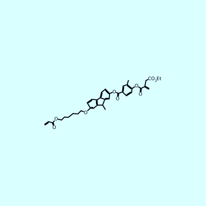 C=CC(=O)OCCCCCCOc1ccc2c(c1)C(C)c1cc(OC(=O)c3ccc(OC(=O)C(=C)CC(=O)OCC)c(C)c3)ccc1-2